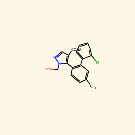 CCOC(=O)c1cnn(CO)c1-c1ccc(C(F)(F)F)cc1-c1ccccc1Cl